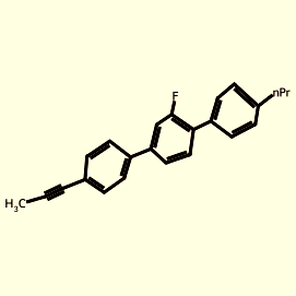 CC#Cc1ccc(-c2ccc(-c3ccc(CCC)cc3)c(F)c2)cc1